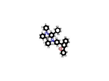 c1ccc(N2c3ccccc3B3c4ccccc4N(c4ccc(-c5c6ccccc6cc6c5oc5ccccc56)cc4)c4cc(C5CCCCC5)cc2c43)cc1